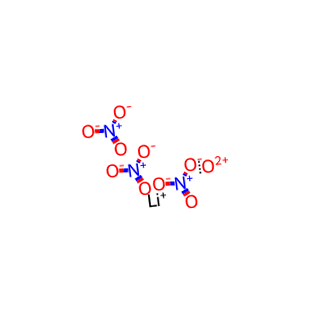 O=[N+]([O-])[O-].O=[N+]([O-])[O-].O=[N+]([O-])[O-].[Li+].[O+2]